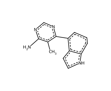 Cc1c(N)ncnc1-c1cccc2[nH]ccc12